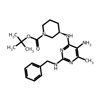 Cc1nc(NCc2ccccc2)nc(N[C@@H]2CCCN(C(=O)OC(C)(C)C)C2)c1N